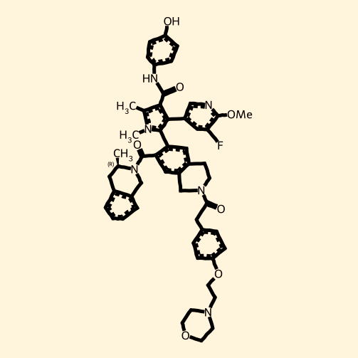 COc1ncc(-c2c(C(=O)Nc3ccc(O)cc3)c(C)n(C)c2-c2cc3c(cc2C(=O)N2Cc4ccccc4C[C@H]2C)CN(C(=O)Cc2ccc(OCCN4CCOCC4)cc2)CC3)cc1F